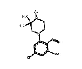 CNc1cc(Cl)cc(N2CCN(C(C)=O)C(C)(C)C2)c1C=N